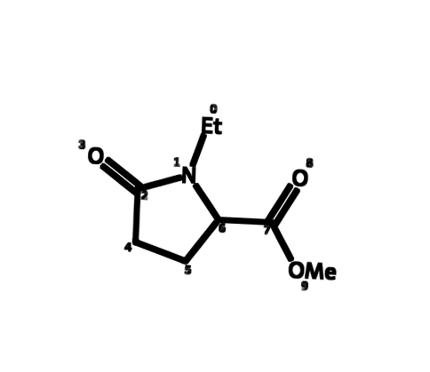 CCN1C(=O)CCC1C(=O)OC